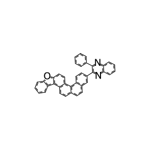 c1ccc(-c2nc3ccccc3nc2-c2ccc3c(ccc4ccc5c(ccc6oc7ccccc7c65)c43)c2)cc1